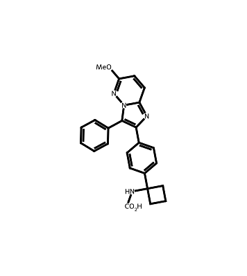 COc1ccc2nc(-c3ccc(C4(NC(=O)O)CCC4)cc3)c(-c3ccccc3)n2n1